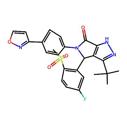 CC(C)(C)c1n[nH]c2c1C(c1cc(F)ccc1S(C)(=O)=O)N(c1ccc(-c3ccon3)cc1)C2=O